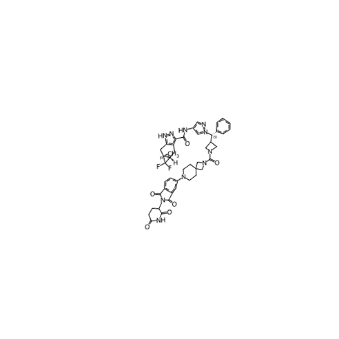 C[C@@]12Cc3[nH]nc(C(=O)Nc4cnn([C@H](c5ccccc5)C5CN(C(=O)N6CC7(CCN(c8ccc9c(c8)C(=O)N(C8CCC(=O)NC8=O)C9=O)CC7)C6)C5)c4)c3C[C@@H]1C2(F)F